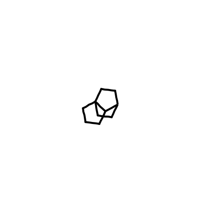 C1CC2C3CCC2(C1)CC3